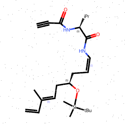 C#CC(=O)N[C@H](C(=O)N/C=C\C[C@H](C/C=C(\C)C=C)O[Si](C)(C)C(C)(C)C)C(C)C